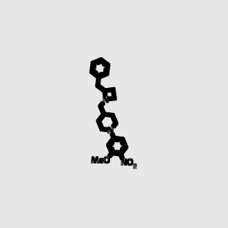 COc1cc(N2CCC(CN3CCC3Cc3ccccc3)CC2)ccc1[N+](=O)[O-]